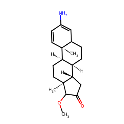 COC1C(=O)C[C@H]2[C@@H]3CCC4C=C(N)C=C[C@]4(C)[C@@H]3CC[C@]12C